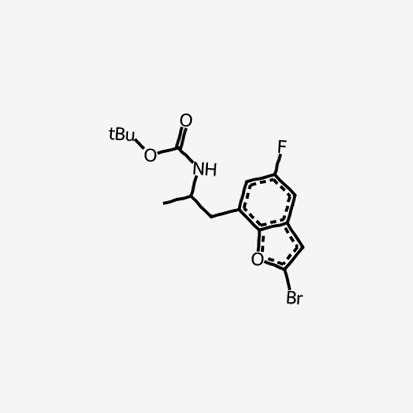 CC(Cc1cc(F)cc2cc(Br)oc12)NC(=O)OC(C)(C)C